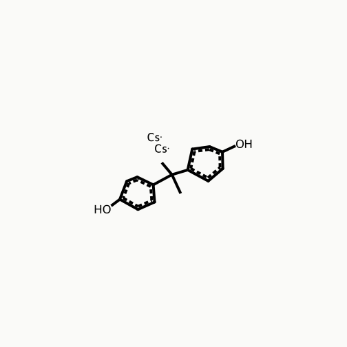 CC(C)(c1ccc(O)cc1)c1ccc(O)cc1.[Cs].[Cs]